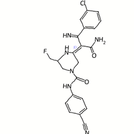 N#Cc1ccc(NC(=O)N2C/C(=C(/C(=N)c3cccc(Cl)c3)C(N)=O)NC(CF)C2)cc1